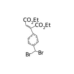 CCOC(=O)C=C(C(=O)OCC)c1ccc(C(Br)Br)cc1